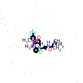 C=C(CN(C)C)C(=O)NC12CC(CN3C[C@H]4CC(=O)N(c5cc(C(F)(F)F)cc(C)n5)[C@@H]4C(=O)N(C)c4cccc(Cl)c43)(C1)C2